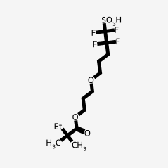 CCC(C)(C)C(=O)OCCCOCCCC(F)(F)C(F)(F)S(=O)(=O)O